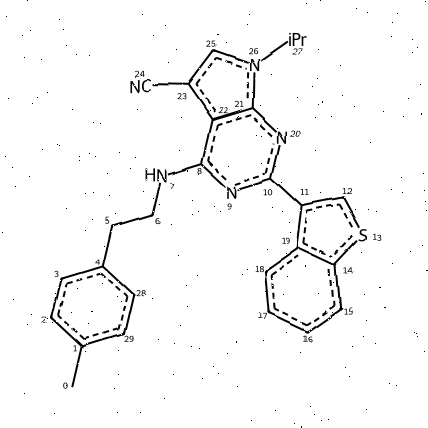 Cc1ccc(CCNc2nc(-c3csc4ccccc34)nc3c2c(C#N)cn3C(C)C)cc1